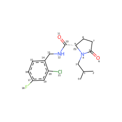 CC(C)CN1C(=O)CC[C@H]1C(=O)NCc1ccc(F)cc1Cl